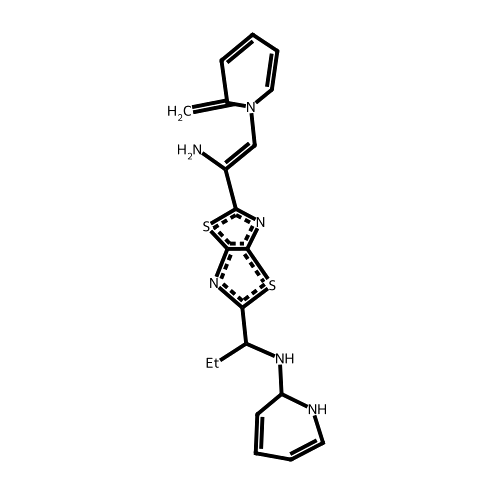 C=C1C=CC=CN1/C=C(\N)c1nc2sc(C(CC)NC3C=CC=CN3)nc2s1